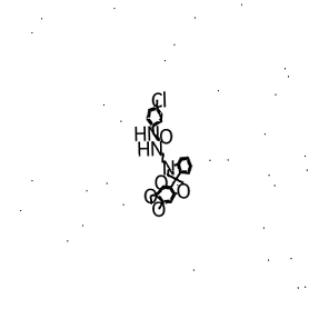 O=C(NCCN1C(=O)C2(COc3cc4c(cc32)OCO4)c2ccccc21)Nc1ccc(Cl)cc1